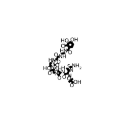 CC(C)(O/N=C(\C(=O)N[C@@H]1C(=O)N2C[C@@](C(=O)O)(N3CCN(NC(=O)C(=O)NCCNC(=O)c4ccc(O)c(O)c4Cl)C3=O)S[C@H]12)c1csc(N)n1)C(=O)O